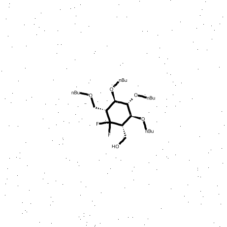 CCCCOC[C@@H]1[C@@H](OCCCC)[C@H](OCCCC)[C@@H](OCCCC)[C@H](CO)C1(F)F